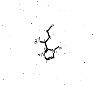 CCCC(Br)c1nccn1C